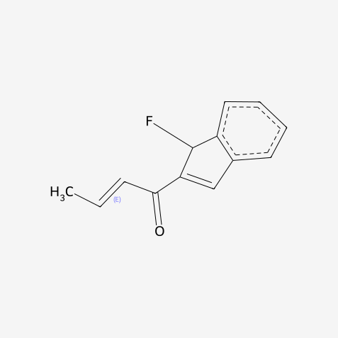 C/C=C/C(=O)C1=Cc2ccccc2C1F